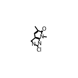 Cc1cc2cnc(Cl)nc2n(C)c1=O